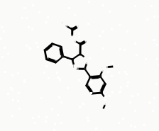 COc1ccc(C2NC(c3ccccc3)C(C(=O)OC(N)=O)O2)c(OC)c1